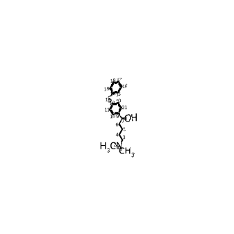 CN(C)CCCCC(O)c1ccc(Sc2ccccc2)cc1